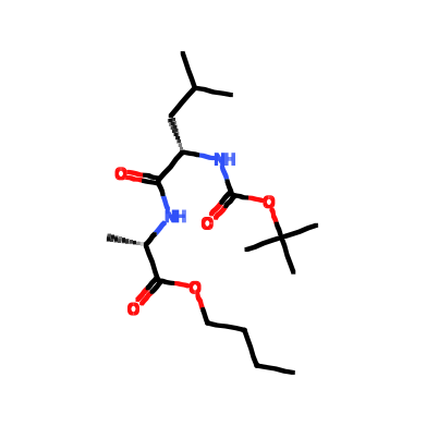 CCCCOC(=O)[C@H](C)NC(=O)[C@H](CC(C)C)NC(=O)OC(C)(C)C